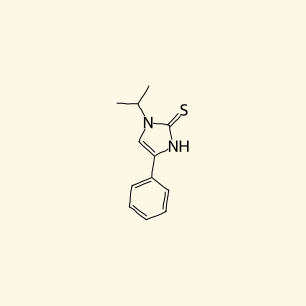 CC(C)n1cc(-c2ccccc2)[nH]c1=S